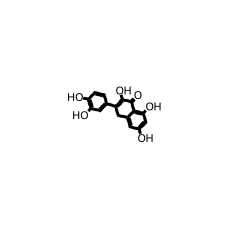 O=C1C(O)=C(c2ccc(O)c(O)c2)Cc2cc(O)cc(O)c21